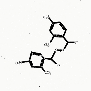 CCC(SSC(CC)c1ccc([N+](=O)[O-])cc1C(Cl)(Cl)Cl)c1ccc([N+](=O)[O-])cc1C(Cl)(Cl)Cl